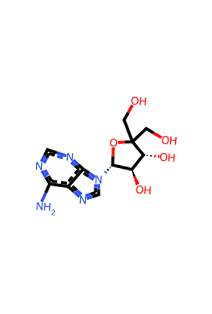 Nc1ncnc2c1ncn2[C@@H]1OC(CO)(CO)[C@H](O)[C@H]1O